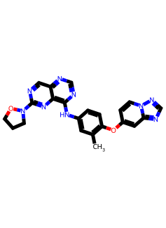 Cc1cc(Nc2ncnc3cnc(N4CCCO4)nc23)ccc1Oc1ccn2ncnc2c1